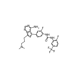 CN(C)CCCc1cc(-c2ccc(NC(=O)Nc3cc(C(F)(F)F)ccc3F)c(F)c2)c2c(N)ncnn12